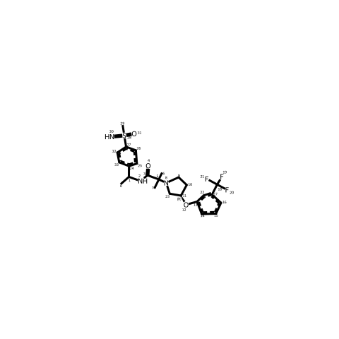 CC(NC(=O)C(C)(C)N1CC[C@@H](Oc2cccc(C(F)(F)F)c2)C1)c1ccc(S(C)(=N)=O)cc1